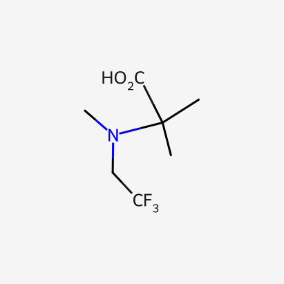 CN(CC(F)(F)F)C(C)(C)C(=O)O